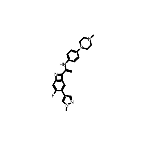 C=C(Nc1ccc(N2CCN(C)CC2)cc1)C1=Nc2cc(F)c(-c3cnn(C)c3)cc21